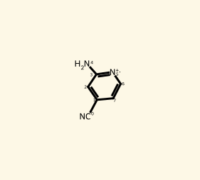 N#CC1=CC(N)=[N+]C=C1